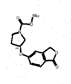 CC(C)(C)OC(=O)N1CC[C@H](Oc2ccc3c(c2)COC3=O)C1